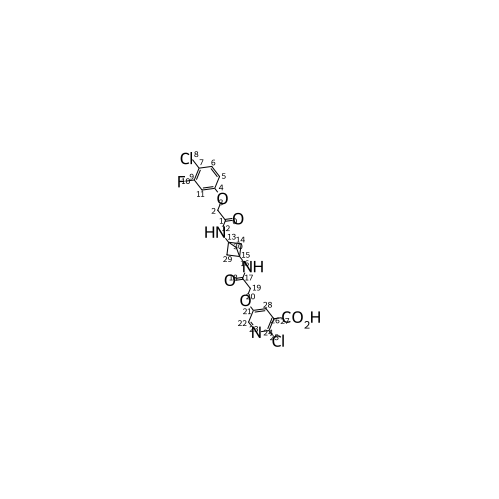 O=C(COc1ccc(Cl)c(F)c1)NC12CC(NC(=O)COc3cnc(Cl)c(C(=O)O)c3)(C1)C2